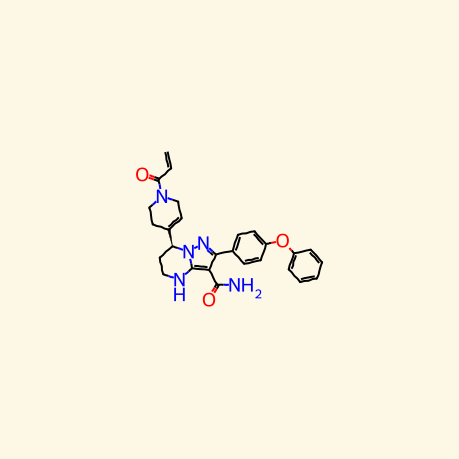 C=CC(=O)N1CC=C([C@@H]2CCNc3c(C(N)=O)c(-c4ccc(Oc5ccccc5)cc4)nn32)CC1